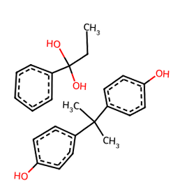 CC(C)(c1ccc(O)cc1)c1ccc(O)cc1.CCC(O)(O)c1ccccc1